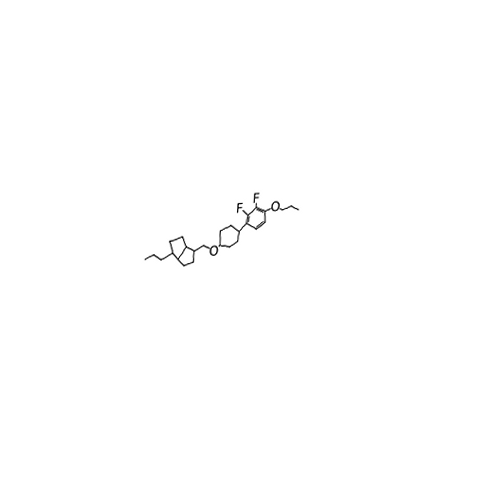 CCCOc1ccc(C2CCC(OCC3CCC4C(CCC)CCC34)CC2)c(F)c1F